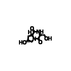 O=C1N[C@@H](CO)C(=O)N2C[C@H](O)C[C@@H]12